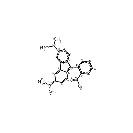 CN(C)c1ccc2c(c1)C1=CC(=[N+](C)C)C=CC1=C2c1ccccc1C(=O)O